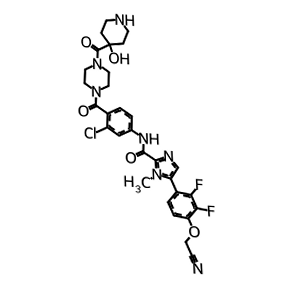 Cn1c(-c2ccc(OCC#N)c(F)c2F)cnc1C(=O)Nc1ccc(C(=O)N2CCN(C(=O)C3(O)CCNCC3)CC2)c(Cl)c1